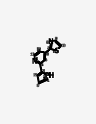 c1c[pH]c(-c2cc(-c3nccs3)ccn2)c1